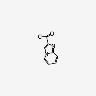 O=C(Cl)c1cn2ccccc2n1